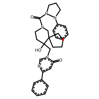 O=C(N1CCC(O)(Cn2cnc(-c3ccccc3)cc2=O)C2(CCCC2)C1)N1CCCN1c1ccccc1